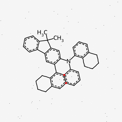 CC1(C)c2ccccc2-c2cc(-c3cccc4c3CCCC4)c(N(c3ccccc3)c3cccc4c3CCCC4)cc21